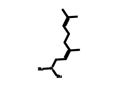 CCC(C)N(CC=C(C)CCC=C(C)C)C(C)CC